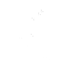 CCCCC1=CCC(C)(C(=O)NCCN=[N+]=[N-])C=C1